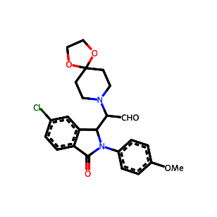 COc1ccc(N2C(=O)c3ccc(Cl)cc3C2C(C=O)N2CCC3(CC2)OCCO3)cc1